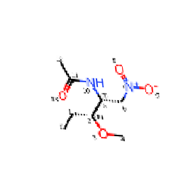 CC[C@@H](OC)[C@@H](C[N+](=O)[O-])NC(C)=O